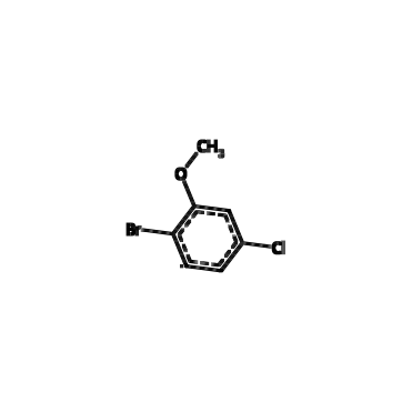 COc1cc(Cl)c[c]c1Br